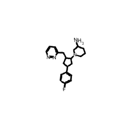 NC1CCCN(C2CC(c3ccc(F)cc3)CC2Cc2cccnn2)C1